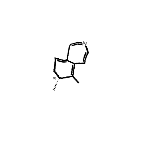 CC1=c2ccncc2=CC[C@H]1C